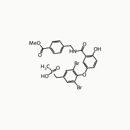 COC(=O)c1ccc(CNC(=O)c2cc(Oc3c(Br)cc(CP(C)(=O)O)cc3Br)ccc2O)cc1